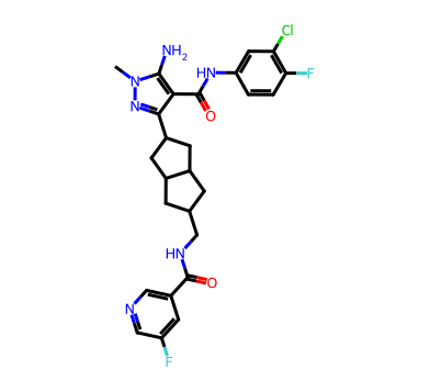 Cn1nc(C2CC3CC(CNC(=O)c4cncc(F)c4)CC3C2)c(C(=O)Nc2ccc(F)c(Cl)c2)c1N